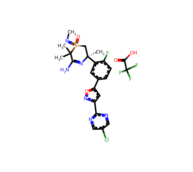 CN=[S@@]1(=O)C[C@@](C)(c2cc(-c3cc(-c4ncc(Cl)cn4)no3)ccc2F)N=C(N)C1(C)C.O=C(O)C(F)(F)F